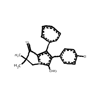 CC1(C)Cn2c(C=O)c(-c3ccc(Cl)cc3)c(-c3ccccc3)c2C1=O